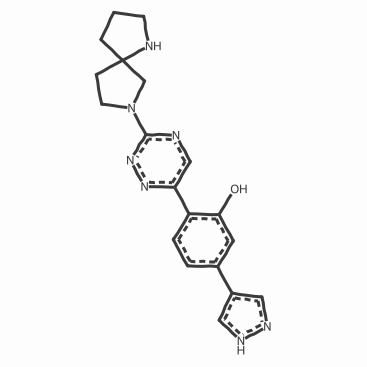 Oc1cc(-c2cn[nH]c2)ccc1-c1cnc(N2CCC3(CCCN3)C2)nn1